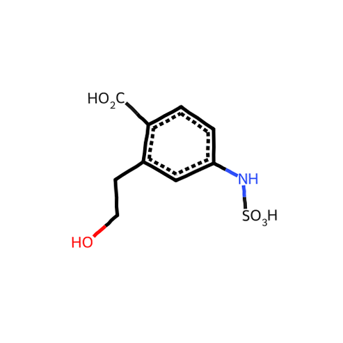 O=C(O)c1ccc(NS(=O)(=O)O)cc1CCO